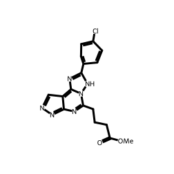 COC(=O)CCCc1nc2nncc-2c2nc(-c3ccc(Cl)cc3)[nH]n12